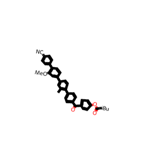 CCC(C)C(=O)Oc1ccc(C(=O)c2ccc(-c3ccc(-c4ccc(-c5ccc(C#N)cc5)c(OC)c4)cc3C)cc2)cc1